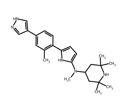 Cc1cc(-c2cn[nH]c2)ccc1-c1ccc(N(C)C2CC(C)(C)NC(C)(C)C2)[nH]1